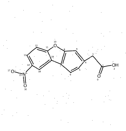 O=C(O)Cc1ccc2c(c1)oc1ccc([N+](=O)[O-])cc12